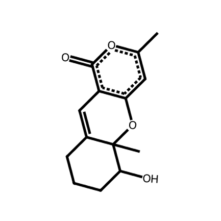 Cc1cc2c(c(=O)o1)C=C1CCCC(O)C1(C)O2